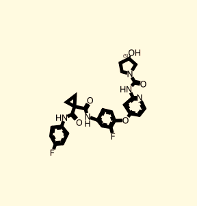 O=C(Nc1cc(Oc2ccc(NC(=O)C3(C(=O)Nc4ccc(F)cc4)CC3)cc2F)ccn1)N1CC[C@H](O)C1